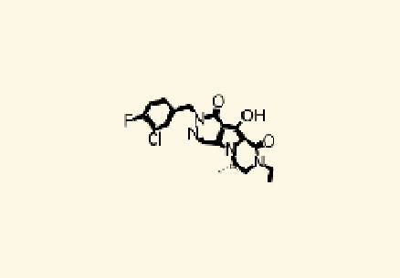 CCN1C[C@H](C)n2c(c(O)c3c(=O)n(Cc4ccc(F)c(Cl)c4)ncc32)C1=O